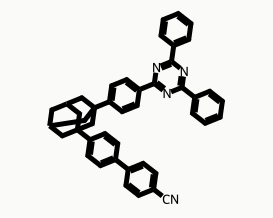 N#Cc1ccc(-c2ccc(C34CC5CC(C3)CC(c3ccc(-c6nc(-c7ccccc7)nc(-c7ccccc7)n6)cc3)(C5)C4)cc2)cc1